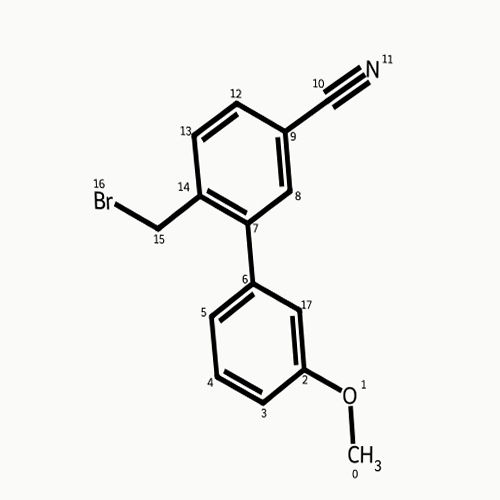 COc1cccc(-c2cc(C#N)ccc2CBr)c1